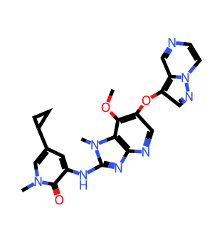 COc1c(Oc2cnn3ccncc23)cnc2nc(Nc3cc(C4CC4)cn(C)c3=O)n(C)c12